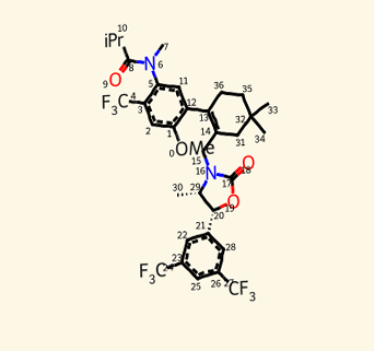 COc1cc(C(F)(F)F)c(N(C)C(=O)C(C)C)cc1C1=C(CN2C(=O)O[C@H](c3cc(C(F)(F)F)cc(C(F)(F)F)c3)[C@@H]2C)CC(C)(C)CC1